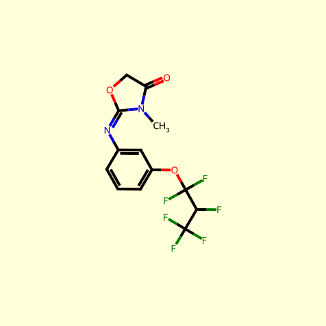 CN1C(=O)COC1=Nc1cccc(OC(F)(F)C(F)C(F)(F)F)c1